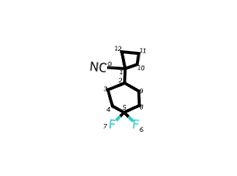 N#CC1(C2CCC(F)(F)CC2)CCC1